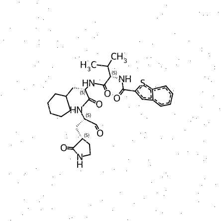 CC(C)[C@H](NC(=O)c1cc2ccccc2s1)C(=O)N[C@@H](CC1CCCCC1)C(=O)N[C@H](C=O)C[C@@H]1CCNC1=O